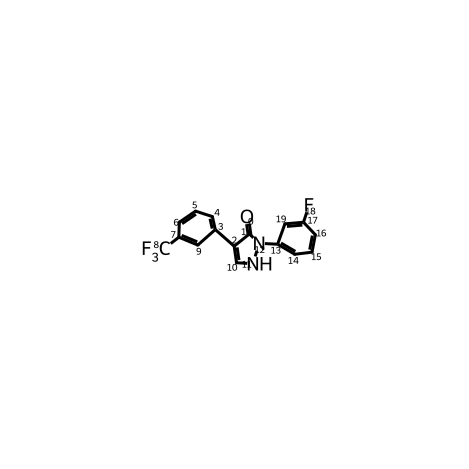 O=c1c(-c2cccc(C(F)(F)F)c2)c[nH]n1-c1cccc(F)c1